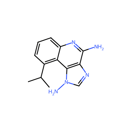 CC(C)c1cccc2nc(N)c3ncn(N)c3c12